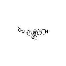 CCO[C@H]1C[C@H](c2ccc(S(=O)(=O)Nc3cc4c(nc3OC)CCN(C)CC4)cn2)C1